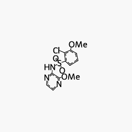 COc1cccc(S(=O)(=O)Nc2nccnc2OC)c1Cl